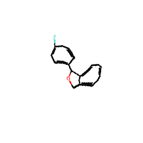 Fc1ccc([C]2OCc3ccccc32)cc1